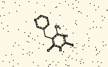 Cc1[nH]c(=S)[nH]c(=O)c1Cc1cccnc1